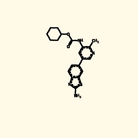 Cc1ncc(-c2ccc3nc(N)sc3c2)cc1NC(=O)OC1CCCCC1